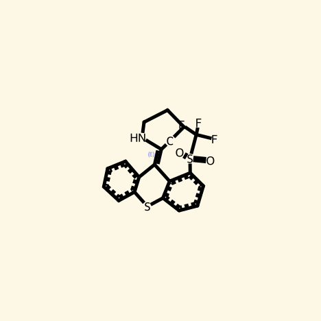 O=S(=O)(c1cccc2c1/C(=C1\CCCCN1)c1ccccc1S2)C(F)(F)F